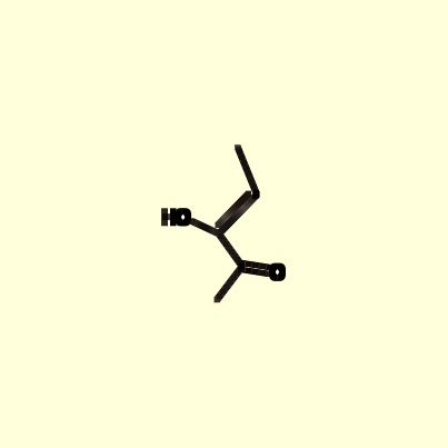 C/C=C(\O)C(C)=O